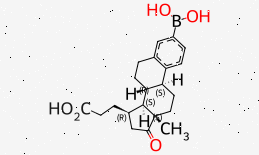 C[C@]12CC[C@@H]3c4ccc(B(O)O)cc4CC[C@H]3[C@@H]1[C@H](CCC(=O)O)CC2=O